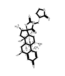 CCC(=O)O[C@]1(C(=O)OC[C@@H]2CCOC2=O)[C@H](C)C[C@H]2[C@@H]3C[C@H](F)C4=CC(=O)C=C[C@]4(C)[C@@]3(F)[C@@H](O)C[C@@]21C